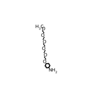 COCCOCCOCCOCCOCCOc1ccc(N)cc1